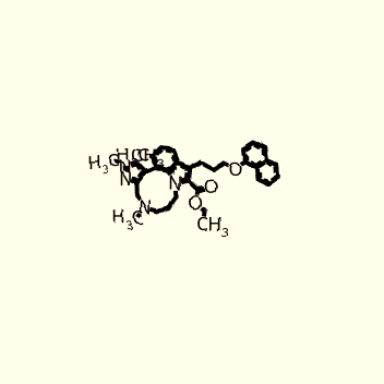 CCOC(=O)c1c(CCCOc2cccc3ccccc23)c2ccc(C)c3c2n1CCCN(C)Cc1nn(C)c(C)c1-3